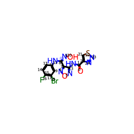 O=C(Nc1nonc1/C(=N\O)Nc1ccc(F)c(Br)c1)c1csnn1